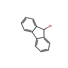 BrC1c2ccccc2-c2ccccc21